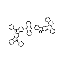 c1ccc(-n2c3ccccc3c3cc4c(cc32)c2cc(-c3c5ccccc5c(-c5ccc6c(c5)oc5cc7c8ccccc8c8ccc9ccccc9c8c7cc56)c5ccccc35)ccc2n4-c2ccccc2)cc1